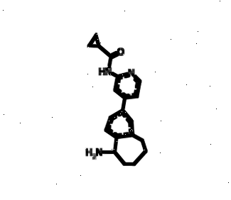 NC1CCCCc2cc(-c3ccnc(NC(=O)C4CC4)c3)ccc21